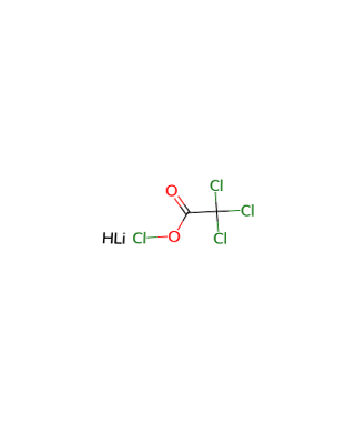 O=C(OCl)C(Cl)(Cl)Cl.[LiH]